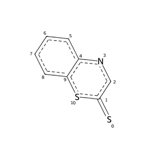 S=c1cnc2ccccc2s1